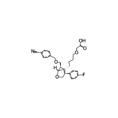 N#Cc1ccc(COC[C@@H]2[C@@H]3C[C@@](c4ccc(F)cc4)(CO3)[C@H]2CCCCOCC(=O)O)cc1